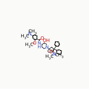 COc1cc(N(C)C)ccc1C(=O)N[C@H]1CCN(C(C)CC(C(=O)N(C)C)(c2ccccc2)c2ccccc2)C[C@@H]1O